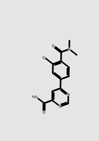 CN(C)C(=O)c1ccc(-c2cc(C(=O)O)ncn2)cc1Cl